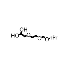 CCCOCOCCOCC(O)O